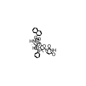 C[C@H](NP(=O)(OC[C@H]1O[C@@H](n2ccc(=O)[nH]c2=O)[C@](C)(F)[C@@H]1O)Oc1cccc2ccccc12)C(=O)OCc1ccccc1